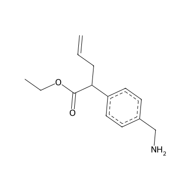 C=CCC(C(=O)OCC)c1ccc(CN)cc1